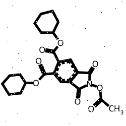 CC(=O)ON1C(=O)c2cc(C(=O)OC3CCCCC3)c(C(=O)OC3CCCCC3)cc2C1=O